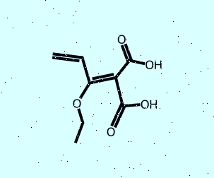 C=CC(OCC)=C(C(=O)O)C(=O)O